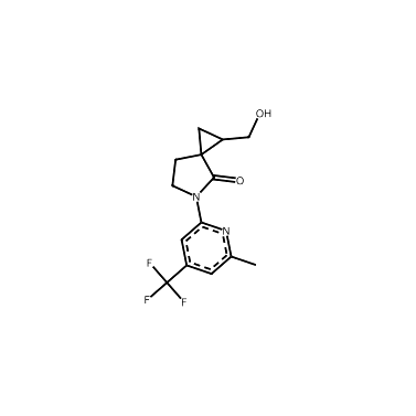 Cc1cc(C(F)(F)F)cc(N2CCC3(CC3CO)C2=O)n1